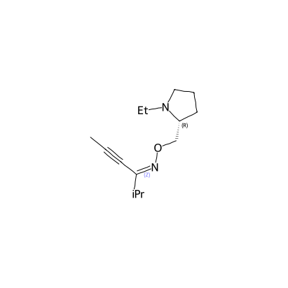 CC#C/C(=N\OC[C@H]1CCCN1CC)C(C)C